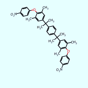 Cc1cc(C(C)(C)c2ccc(C(C)(C)c3cc(C)c(Oc4ccc([N+](=O)[O-])cc4)c(C)c3)cc2)cc(C)c1Oc1ccc([N+](=O)[O-])cc1